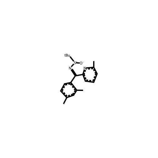 Cc1ccc(C(=N[S+]([O-])C(C)(C)C)c2cccc(C)n2)c(C)c1